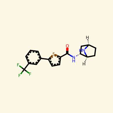 O=C(N[C@@H]1C[C@H]2CC[C@@H]1N2)c1ccc(-c2cccc(C(F)(F)F)c2)s1